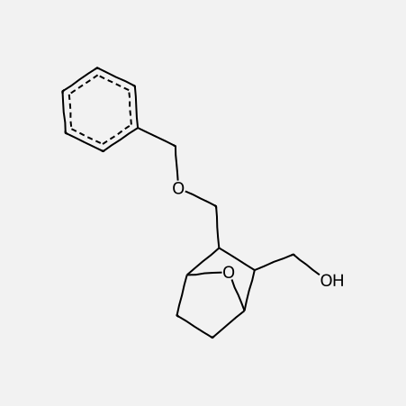 OCC1C2CCC(O2)C1COCc1ccccc1